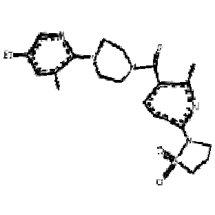 CCc1cnc(N2CCN(C(=O)c3ccc(N4CCCS4(=O)=O)nc3C)CC2)c(C)c1